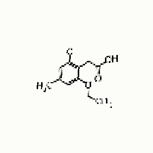 CCOc1cc(C)cc(Cl)c1CC(=O)O